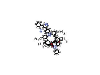 Cc1ccc2c(c1)-c1ccccc1C1(c3ccccc3-c3cc(C)ccc3N2c2ccc(-c3cncc(-c4ccccc4)c3C#N)cc2)c2cc(C)ccc2N(c2ccccc2)c2ccc(C)cc21